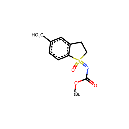 CC(C)(C)OC(=O)N=S1(=O)CCc2cc(C(=O)O)ccc21